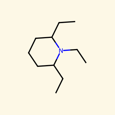 CCC1CCCC(CC)N1CC